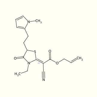 C=CCOC(=O)/C(C#N)=C1\SC(CCc2cccn2C)C(=O)N1CC